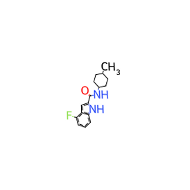 CC1CCC(NC(=O)c2cc3c(F)cccc3[nH]2)CC1